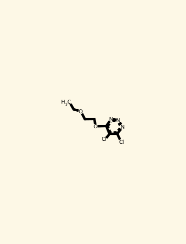 CCOCCOc1nnnc(Cl)c1Cl